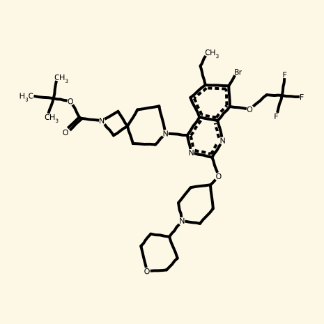 CCc1cc2c(N3CCC4(CC3)CN(C(=O)OC(C)(C)C)C4)nc(OC3CCN(C4CCOCC4)CC3)nc2c(OCC(F)(F)F)c1Br